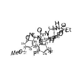 CCS(=O)(=O)N[C@@H]1CN2C(=O)N(c3noc4cc(COC)cc(-c5c(F)cc(F)cc5F)c34)CC[C@@H]2C1(F)F